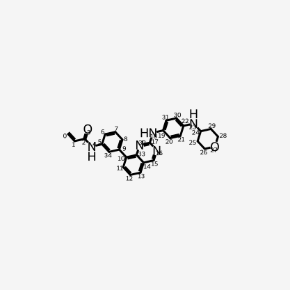 C=CC(=O)Nc1cccc(-c2cccc3cnc(Nc4ccc(NC5CCOCC5)cc4)nc23)c1